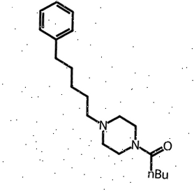 [CH2]CCCC(=O)N1CCN(CCCCCc2ccccc2)CC1